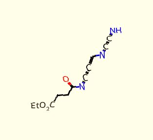 CCOC(=O)CCC(=O)N=C=C=CN=C=C=N